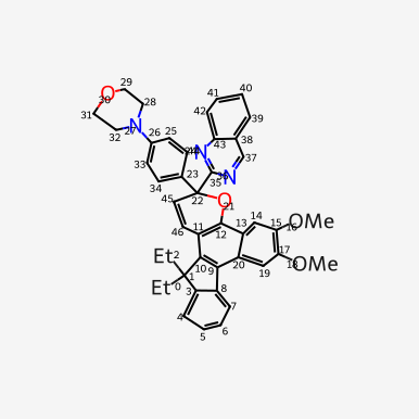 CCC1(CC)c2ccccc2-c2c1c1c(c3cc(OC)c(OC)cc23)OC(c2ccc(N3CCOCC3)cc2)(c2ncc3ccccc3n2)C=C1